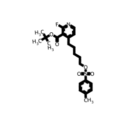 Cc1ccc(S(=O)(=O)OCCCCCc2ccnc(F)c2C(=O)OC(C)(C)C)cc1